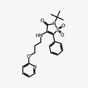 CC(C)(C)N1C(=O)C(NCCCOc2ccccn2)=C(c2ccccc2)S1(=O)=O